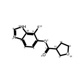 O=C(Oc1ccc2nc[nH]c2c1F)C1CCOC1